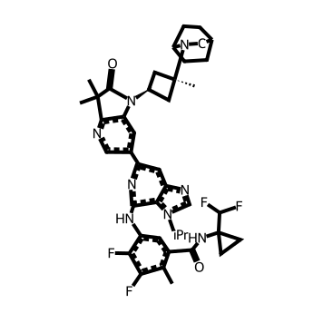 Cc1c(C(=O)NC2(C(F)F)CC2)cc(Nc2nc(-c3cnc4c(c3)N([C@H]3C[C@@](C)(N5CC6CCC5CC6)C3)C(=O)C4(C)C)cc3ncn(C(C)C)c23)c(F)c1F